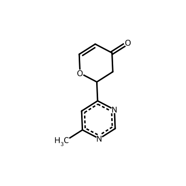 Cc1cc(C2CC(=O)C=CO2)ncn1